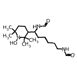 CC1(C)CCC(C(CCCCCNC=O)NC=O)C(C)(C)N1O